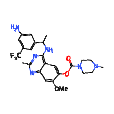 COc1cc2nc(C)nc(NC(C)c3cc(N)cc(C(F)(F)F)c3)c2cc1OC(=O)N1CCN(C)CC1